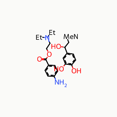 CCN(CC)CCOC(=O)c1ccc(N)cc1.CNC[C@H](O)c1ccc(O)c(O)c1